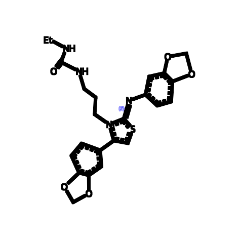 CCNC(=O)NCCCn1c(-c2ccc3c(c2)OCO3)cs/c1=N\c1ccc2c(c1)OCO2